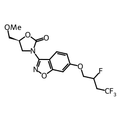 COC[C@@H]1CN(c2noc3cc(OCC(F)CC(F)(F)F)ccc23)C(=O)O1